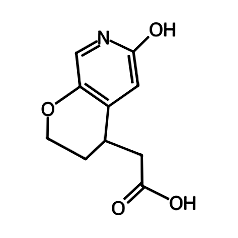 O=C(O)CC1CCOc2cnc(O)cc21